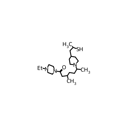 CCN1CCN(C(=O)CC(C)CCC(C)N2CCC(CC(C)S)CC2)CC1